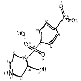 Cl.O=[N+]([O-])c1ccc(S(=O)(=O)N2CCNCC2O)cc1